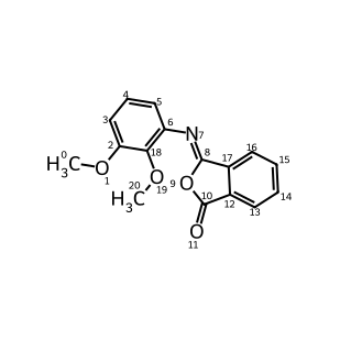 COc1cccc(N=C2OC(=O)c3ccccc32)c1OC